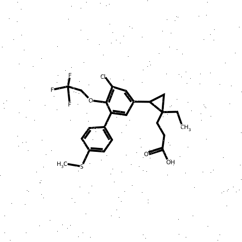 CCC1(CCC(=O)O)CC1c1cc(Cl)c(OCC(F)(F)F)c(-c2ccc(SC)cc2)c1